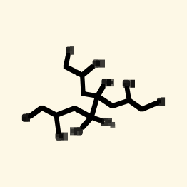 CC(O)(CC(O)CCl)C(O)(CC(O)CCl)CC(O)CCl